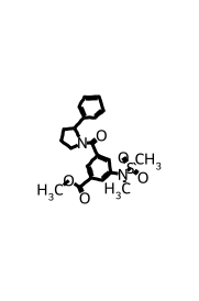 COC(=O)c1cc(C(=O)N2CCCC2c2ccccc2)cc(N(C)S(C)(=O)=O)c1